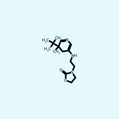 CC(C)(C)C1(C)C=NC=C(NCCN2CCOC2=O)C1